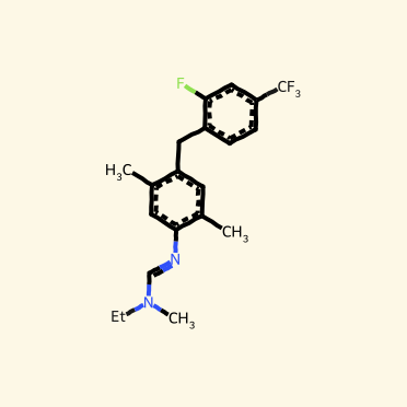 CCN(C)C=Nc1cc(C)c(Cc2ccc(C(F)(F)F)cc2F)cc1C